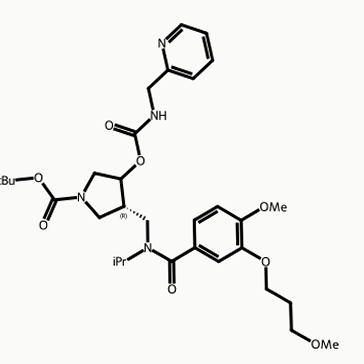 COCCCOc1cc(C(=O)N(C[C@@H]2CN(C(=O)OC(C)(C)C)CC2OC(=O)NCc2ccccn2)C(C)C)ccc1OC